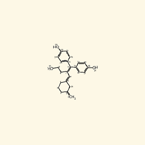 C=C1CCC/C(=C\C(CCO)=C(c2ccc(O)cc2)c2ccc(O)cc2)C1